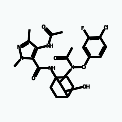 CC(=O)Nc1c(C)nn(C)c1C(=O)NC12CCC(CC1)C(O)C2N(Oc1ccc(Cl)c(F)c1)C(C)=O